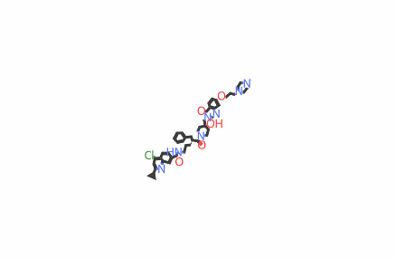 CN1CCN(CCCOc2ccc3c(=O)n(CC4(O)CCN(C(=O)[C@H](CCCNC(=O)c5ccc6c(Cl)cc(C7CC7)nc6c5)Cc5ccccc5)CC4)cnc3c2)CC1